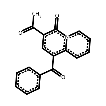 CC(=O)c1cc(C(=O)c2ccccc2)c2ccccn2c1=O